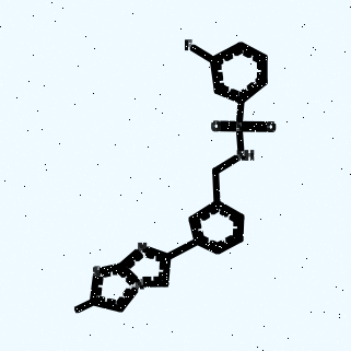 Cc1cn2cc(-c3cccc(CNS(=O)(=O)c4cccc(F)c4)c3)nc2s1